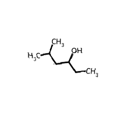 CCC(O)[CH]C(C)C